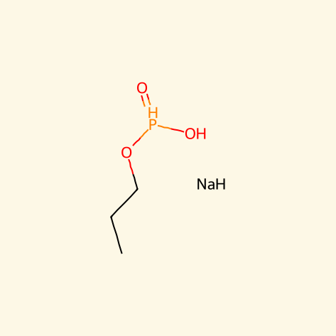 CCCO[PH](=O)O.[NaH]